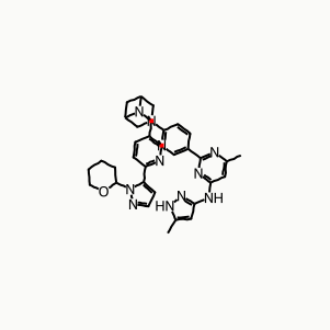 Cc1cc(Nc2cc(C)[nH]n2)nc(-c2ccc(N3CC4CC(C3)N4Cc3ccc(-c4ccnn4C4CCCCO4)nc3)nc2)n1